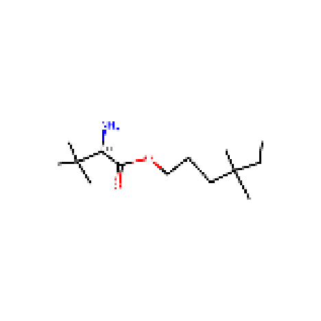 CCC(C)(C)CCCOC(=O)[C@H](N)C(C)(C)C